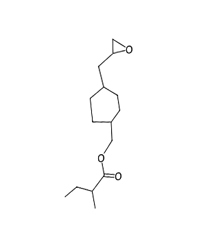 CCC(C)C(=O)OCC1CCC(CC2CO2)CC1